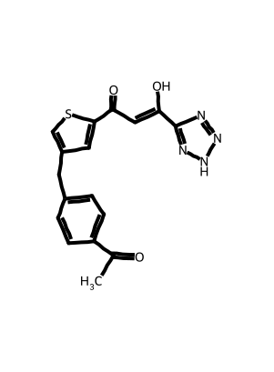 CC(=O)c1ccc(Cc2csc(C(=O)C=C(O)c3nn[nH]n3)c2)cc1